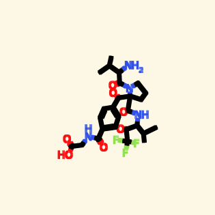 CC(C)C(N)C(=O)N1CCCC1(C(=O)NC(C(=O)C(F)(F)F)C(C)C)C(=O)c1ccc(C(=O)NCC(=O)O)cc1